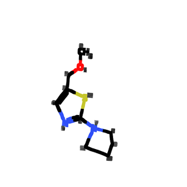 COCc1cnc(N2CCCC2)s1